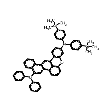 C[Si](C)(C)c1ccc(N(c2ccc([Si](C)(C)C)cc2)c2ccc3c(c2)Oc2cccc4c2c-3cc2c3ccccc3c(B(c3ccccc3)c3ccccc3)cc42)cc1